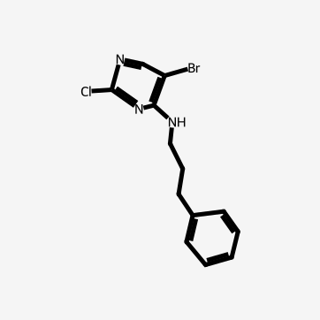 Clc1ncc(Br)c(NCCCc2ccccc2)n1